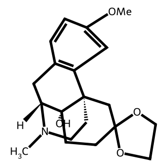 COc1ccc2c(c1)[C@]13CCN(C)[C@H](C2)[C@]1(O)CCC1(C3)OCCO1